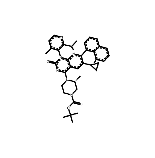 Cc1ccnc(C(C)C)c1-n1c(=O)nc(N2CCN(C(=O)OC(C)(C)C)C[C@@H]2C)c2cc(C3CC3)c(-c3cccc4cccc(C)c34)nc21